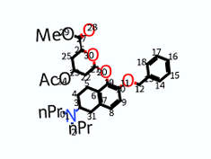 CCCN(CCC)[C@H]1CCc2c(ccc(OCc3ccccc3)c2O[C@H]2C[C@@H](OC(C)=O)C[C@@H](C(=O)OC)O2)C1